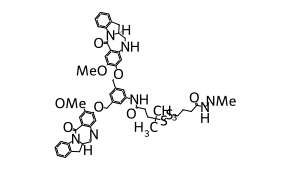 CNNC(=O)CCCSSC(C)(C)CCC(=O)Nc1cc(COc2cc3c(cc2OC)C(=O)N2c4ccccc4C[C@H]2C=N3)cc(COc2cc3c(cc2OC)C(=O)N2c4ccccc4C[C@H]2CN3)c1